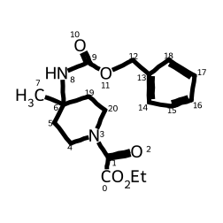 CCOC(=O)C(=O)N1CCC(C)(NC(=O)OCc2ccccc2)CC1